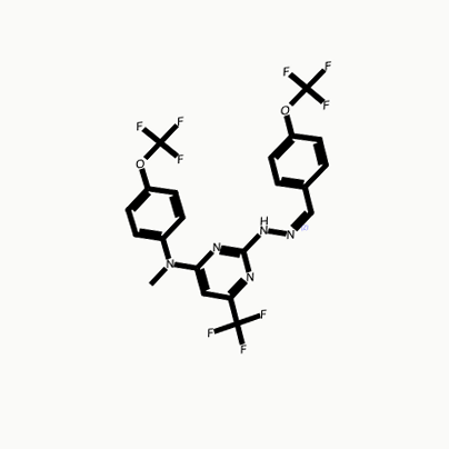 CN(c1ccc(OC(F)(F)F)cc1)c1cc(C(F)(F)F)nc(N/N=C\c2ccc(OC(F)(F)F)cc2)n1